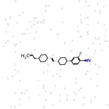 C=CC[C@H]1CC[C@H](C=C[C@H]2CC[C@H](c3ccc(C#N)c(F)c3)CC2)CC1